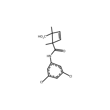 CC1(C(=O)O)C=CC1(C)C(=O)Nc1cc(Cl)cc(Cl)c1